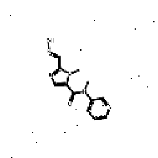 CN(C(=O)c1cnc(/C=N/O)n1C)c1cccnc1